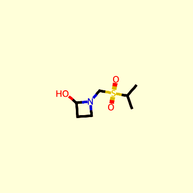 CC(C)S(=O)(=O)CN1CCC1O